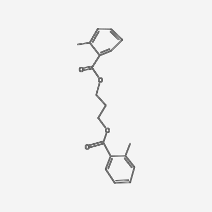 Cc1ccccc1C(=O)OCCCOC(=O)c1ccccc1C